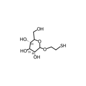 OCC1OC(OCCS)[C@H](O)[C@@H](O)[C@@H]1O